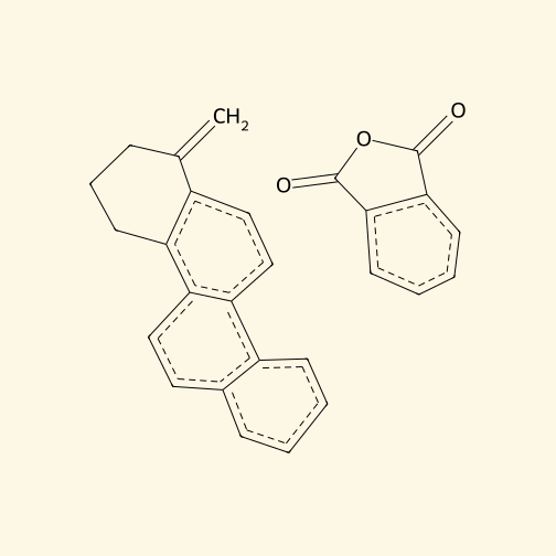 C=C1CCCc2c1ccc1c2ccc2ccccc21.O=C1OC(=O)c2ccccc21